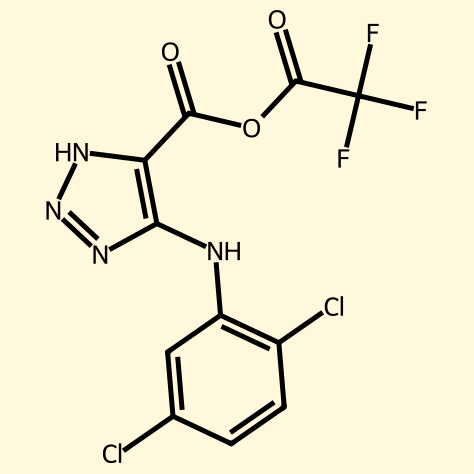 O=C(OC(=O)C(F)(F)F)c1[nH]nnc1Nc1cc(Cl)ccc1Cl